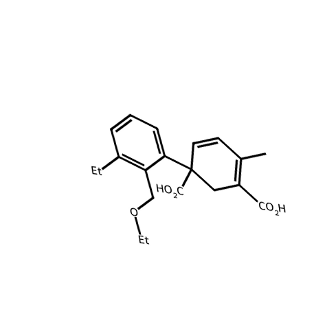 CCOCc1c(CC)cccc1C1(C(=O)O)C=CC(C)=C(C(=O)O)C1